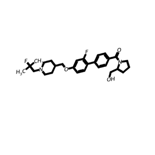 CC(C)(F)CN1CCC(COc2ccc(-c3ccc(C(=O)N4CCCC4CO)cc3)c(F)c2)CC1